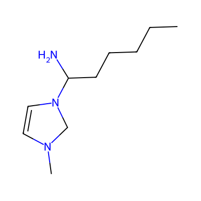 CCCCCC(N)N1C=CN(C)C1